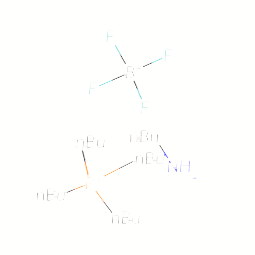 CCCCN.CCCC[P+](CCCC)(CCCC)CCCC.F[B-](F)(F)F